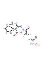 O=Cc1c(CN2CC=C(CCC(=O)NO)C2=O)ccc2ccccc12